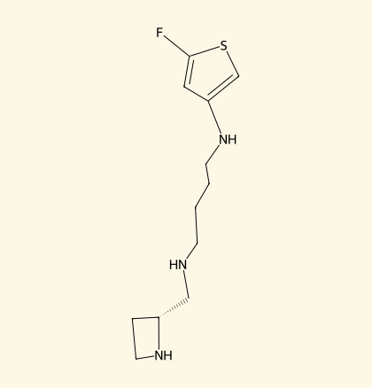 Fc1cc(NCCCCNC[C@H]2CCN2)cs1